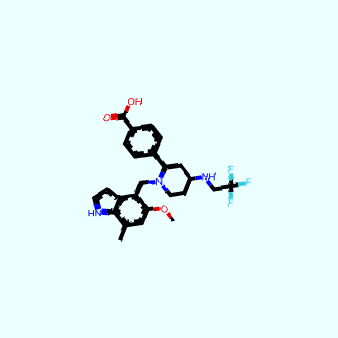 COc1cc(C)c2[nH]ccc2c1CN1CCC(NCC(F)(F)F)CC1c1ccc(C(=O)O)cc1